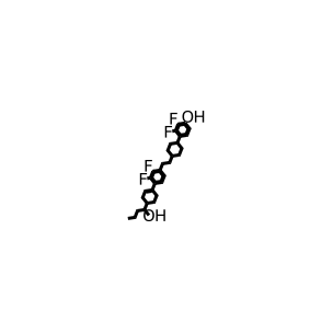 CCCC(O)C1CC=C(c2ccc(CCC3CCC(c4ccc(O)c(F)c4F)CC3)c(F)c2F)CC1